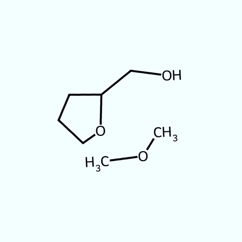 COC.OCC1CCCO1